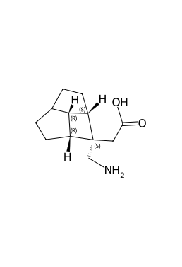 NC[C@]1(CC(=O)O)[C@@H]2CCC3CC[C@H]1[C@@H]32